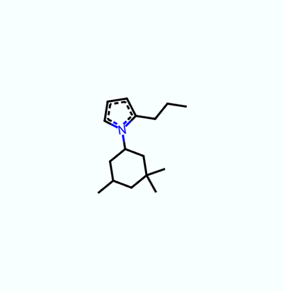 CCCc1cccn1C1CC(C)CC(C)(C)C1